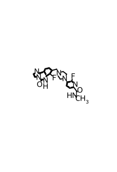 CNC(=O)c1ccc(N2CCN(Cc3ccc4c([nH]c(=O)n5ccnc45)c3F)CC2)c(F)n1